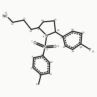 Cc1ccc(S(=O)(=O)N2C(CCCC#N)CCC2c2ccc(F)cc2)cc1